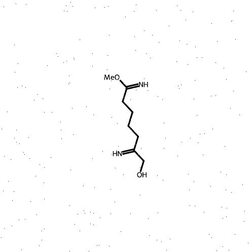 COC(=N)CCCCC(=N)CO